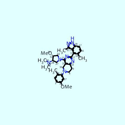 COc1ccc(C)c(N2CCc3nc(-c4c(C)ccc5[nH]nc(C)c45)nc(N4C[C@@H](N(C)C)[C@H](OC)C4)c3C2)c1